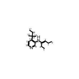 CC/C=C(\CC)Nc1cnccc1C(C)(C)CC